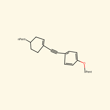 CCCCCOc1ccc(C#CC2=CCC(CCCCC)CC2)cc1